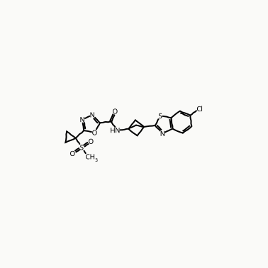 CS(=O)(=O)C1(c2nnc(C(=O)NC34CC(c5nc6ccc(Cl)cc6s5)(C3)C4)o2)CC1